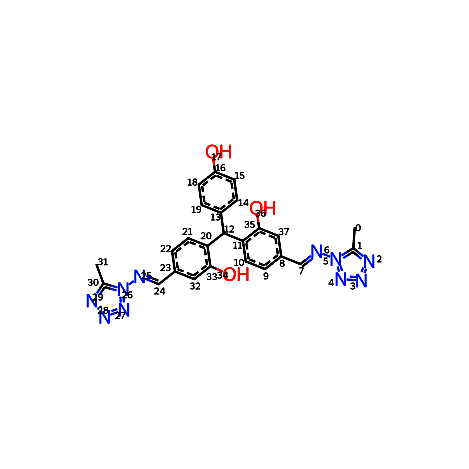 Cc1nnnn1N=Cc1ccc(C(c2ccc(O)cc2)c2ccc(C=Nn3nnnc3C)cc2O)c(O)c1